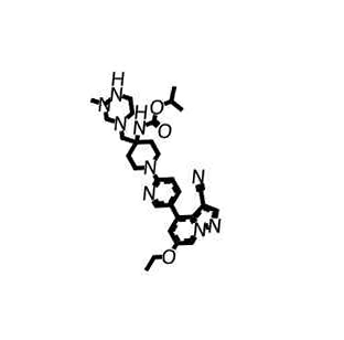 CCOc1cc(-c2ccc(N3CCC(CN4CCNN(C)C4)(NC(=O)OC(C)C)CC3)nc2)c2c(C#N)cnn2c1